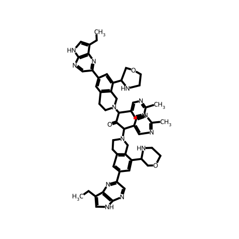 CCc1c[nH]c2ncc(-c3cc4c(c(C5COCCN5)c3)CN(C(C(=O)C(c3cnc(C)nc3)N3CCc5cc(-c6cnc7[nH]cc(CC)c7n6)cc(C6COCCN6)c5C3)c3cnc(C)nc3)CC4)nc12